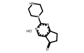 Cl.O=C1CCc2nc(N3CCNCC3)ncc21